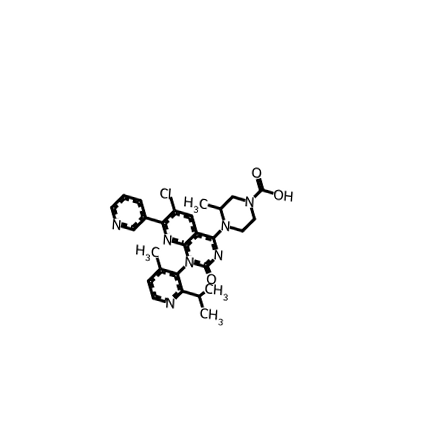 Cc1ccnc(C(C)C)c1-n1c(=O)nc(N2CCN(C(=O)O)CC2C)c2cc(Cl)c(-c3cccnc3)nc21